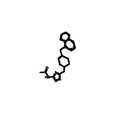 CC(=O)Nc1cnc(CN2CCC(Cc3cccc4ccccc34)CC2)s1